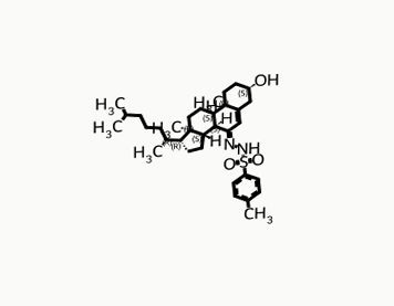 Cc1ccc(S(=O)(=O)NN=C2C=C3C[C@@H](O)CC[C@]3(C)[C@H]3CC[C@]4(C)[C@@H]([C@H](C)CCCC(C)C)CC[C@H]4[C@H]23)cc1